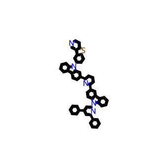 c1ccc(-c2cc(-c3ccccc3)nc(-n3c4ccccc4c4cc(-c5cccc(-c6ccc7c8ccccc8n(-c8ccc9sc%10ccncc%10c9c8)c7c6)n5)ccc43)c2)cc1